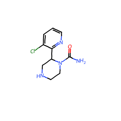 NC(=O)N1CCNCC1c1ncccc1Cl